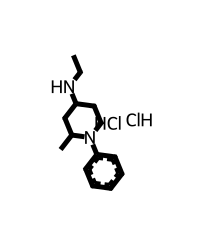 CCNC1CCN(c2ccccc2)C(C)C1.Cl.Cl